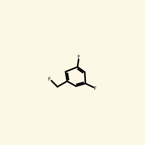 F[CH]c1cc(F)cc(F)c1